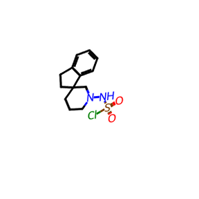 O=S(=O)(Cl)NN1CCCC2(CCc3ccccc32)C1